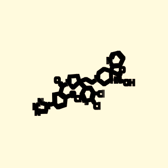 COc1ccc(-n2cnnn2)cc1C(=O)N1CCC(CCN2CCC(C(=O)NO)(c3ccccn3)CC2)(c2ccc(Cl)c(Cl)c2)C1